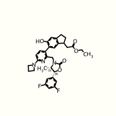 CCOC(=O)CC1CCc2cc(O)c(-c3ccc(N4CCC4)nc3CN3C(=O)O[C@H](c4cc(F)cc(F)c4)[C@@H]3C)cc21